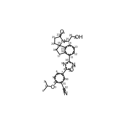 CC(C)Oc1ccc(-c2nc(-c3cccc4c3CC[C@]43CCC(=O)N3CCO)no2)cc1C#N